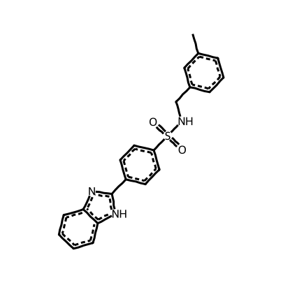 Cc1cccc(CNS(=O)(=O)c2ccc(-c3nc4ccccc4[nH]3)cc2)c1